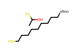 CC(O)S.CCCCCCCCCCCCCCCCCCS